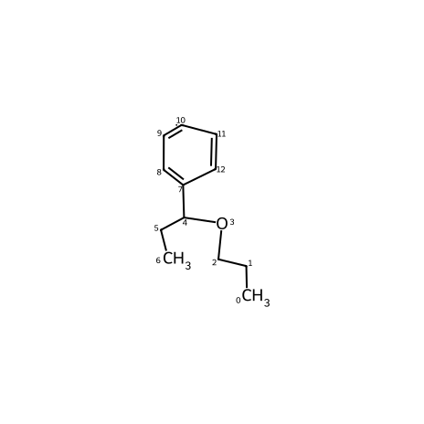 CCCOC(CC)c1cc[c]cc1